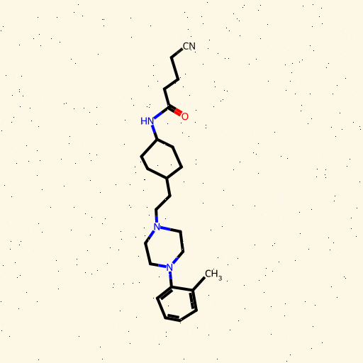 Cc1ccccc1N1CCN(CCC2CCC(NC(=O)CCCC#N)CC2)CC1